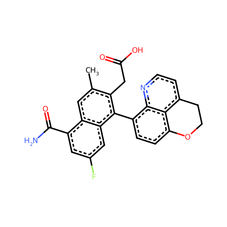 Cc1cc2c(C(N)=O)cc(F)cc2c(-c2ccc3c4c(ccnc24)CCO3)c1CC(=O)O